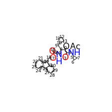 CC(=O)OC(C(=O)NC1CC1)[C@H](CC1CCC1)NC(=O)OCC1c2ccccc2-c2ccccc21